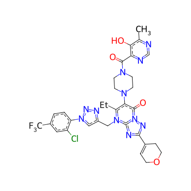 CCc1c(N2CCN(C(=O)c3ncnc(C)c3O)CC2)c(=O)n2nc(C3=CCOCC3)nc2n1Cc1cn(-c2ccc(C(F)(F)F)cc2Cl)nn1